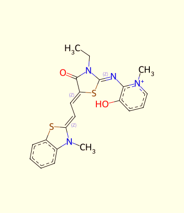 CCN1C(=O)/C(=C/C=C2\Sc3ccccc3N2C)S/C1=N\c1c(O)ccc[n+]1C